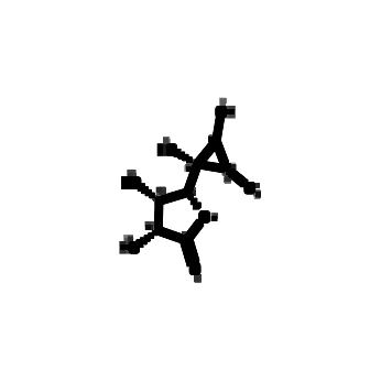 O=C1O[C@@H]([C@@]2(O)C(O)[S+]2[O-])[C@@H](O)[C@H]1O